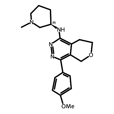 COc1ccc(-c2nnc(N[C@@H]3CCCN(C)C3)c3c2COCC3)cc1